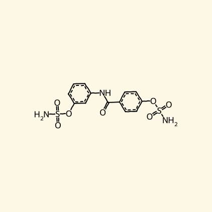 NS(=O)(=O)Oc1ccc(C(=O)Nc2cccc(OS(N)(=O)=O)c2)cc1